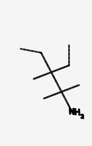 CCC(C)(CC)C(C)(C)N